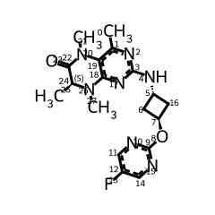 Cc1nc(N[C@H]2C[C@H](Oc3ncc(F)cn3)C2)nc2c1N(C)C(=O)[C@H](C)N2C